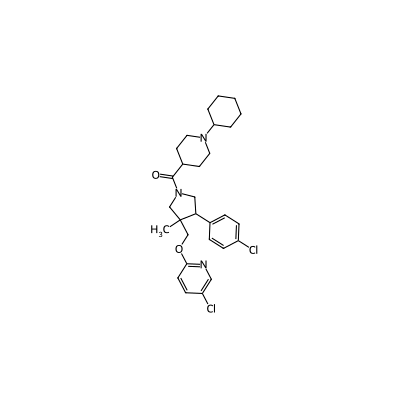 CC1(COc2ccc(Cl)cn2)CN(C(=O)C2CCN(C3CCCCC3)CC2)CC1c1ccc(Cl)cc1